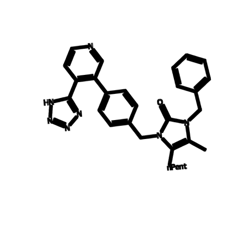 CCCCCc1c(C)n(Cc2ccccc2)c(=O)n1Cc1ccc(-c2cnccc2-c2nnn[nH]2)cc1